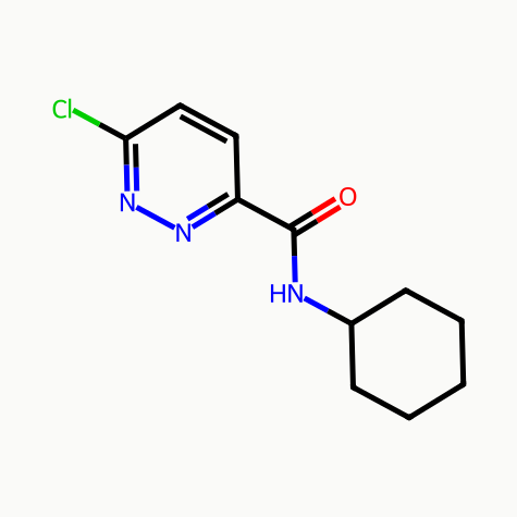 O=C(NC1CCCCC1)c1ccc(Cl)nn1